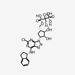 CC(C)(P(=O)(O)O)P(=O)(O)OC[C@H]1C[C@@H](n2nnc3c(N[C@H]4CCc5ccccc54)nc(Cl)nc32)[C@H](O)[C@@H]1O